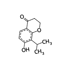 CC(C)c1c(O)ccc2c1OCCC2=O